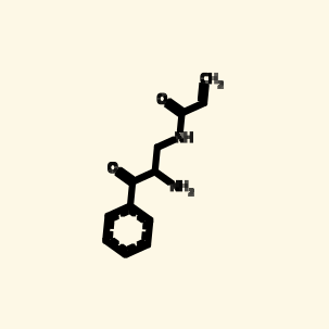 C=CC(=O)NCC(N)C(=O)c1ccccc1